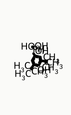 CC(C)(C)c1cc(C[PH](O)(O)O)cc(C(C)(C)C)c1O